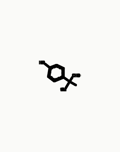 CC(C)(C)C(C)([C]=O)c1ccc(O)cc1